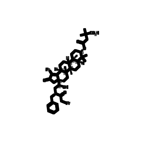 CC(C)CC(=O)N(Cc1ccccc1)C[C@H](O)[C@@]12CC[C@]3(C)[C@H](CC[C@@H]4[C@@]5(C)CC[C@H](OC(=O)CC(C)(C)C(=O)O)C(C)(C)[C@H]5CC[C@]43C)C1=C(C(C)C)C(=O)C2